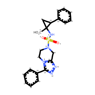 O=C(O)C1(NS(=O)(=O)N2CCn3c(nnc3-c3ccccc3)C2)CC1c1ccccc1